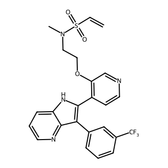 C=CS(=O)(=O)N(C)CCOc1cnccc1-c1[nH]c2cccnc2c1-c1cccc(C(F)(F)F)c1